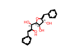 OC(=Cc1ccccc1)[C@@H](O)[C@H]1OC(=Cc2ccccc2)[C@H](O)[C@H]1O